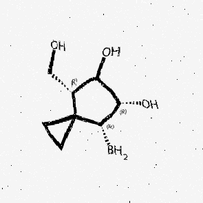 B[C@H]1[C@@H](O)C(O)[C@@H](CO)C12CC2